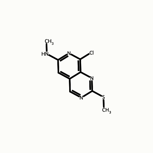 CNc1cc2cnc(SC)nc2c(Cl)n1